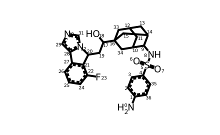 Nc1ccc(S(=O)(=O)NC2C3CC4CC2CC(C(O)CC2c5c(F)cccc5-c5cncn52)(C4)C3)cc1